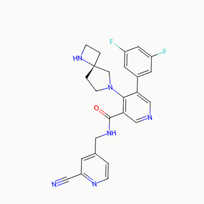 N#Cc1cc(CNC(=O)c2cncc(-c3cc(F)cc(F)c3)c2N2CC[C@@]3(CCN3)C2)ccn1